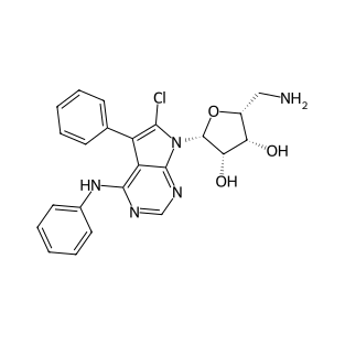 NC[C@H]1O[C@@H](n2c(Cl)c(-c3ccccc3)c3c(Nc4ccccc4)ncnc32)[C@@H](O)[C@H]1O